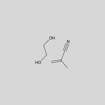 C=C(C)C#N.OCCO